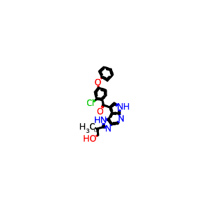 C[C@H](CO)c1nc2cnc3[nH]cc(C(=O)c4ccc(Oc5ccccc5)cc4Cl)c3c2[nH]1